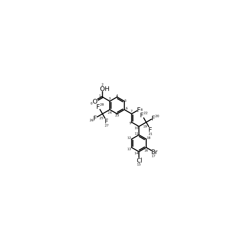 O=C(O)c1ccc(C(F)=CC(c2ccc(Cl)c(Br)c2)C(F)(F)F)cc1C(F)(F)F